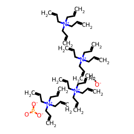 C=CC[N+](CC=C)(CC=C)CC=C.C=CC[N+](CC=C)(CC=C)CC=C.C=CC[N+](CC=C)(CC=C)CC=C.C=CC[N+](CC=C)(CC=C)CC=C.CC(=O)[O-].[O-]P([O-])[O-]